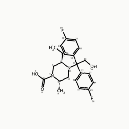 CC[C@@H]1CN(C(=O)O)[C@@H](C)CN1C(CO)(c1ccc(F)cc1)c1ccc(F)cc1